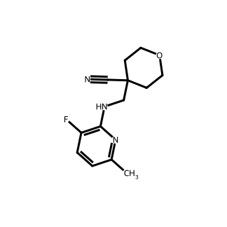 Cc1ccc(F)c(NCC2(C#N)CCOCC2)n1